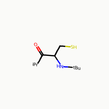 CC(C)C(=O)C(CS)NC(C)(C)C